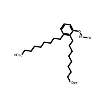 CCCCCCCCCCCCCCCCCCc1cccc(OPO)c1CCCCCCCCCCCCCCCCCC